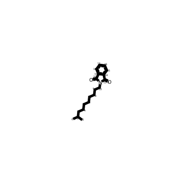 CC(C)CCCCCCCCN1C(=O)c2ccccc2C1=O